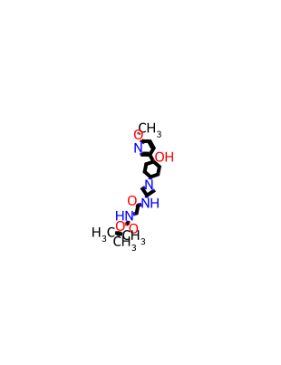 COc1ccc(C2(O)CCC(N3CC(NC(=O)CNC(=O)OC(C)(C)C)C3)CC2)cn1